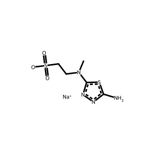 CN(CCS(=O)(=O)[O-])c1nnc(N)s1.[Na+]